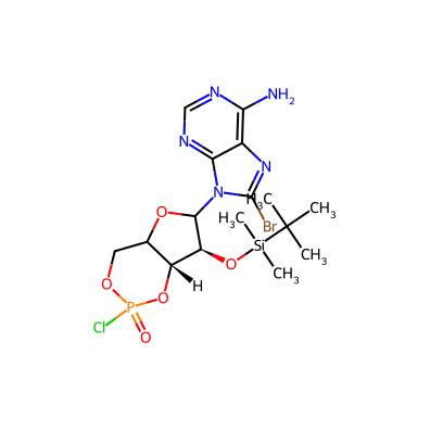 CC(C)(C)[Si](C)(C)O[C@@H]1C(n2c(Br)nc3c(N)ncnc32)OC2COP(=O)(Cl)O[C@H]21